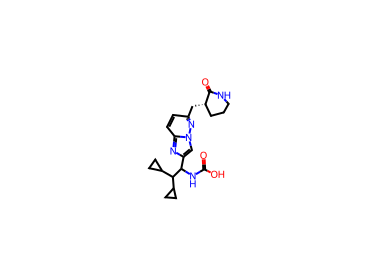 O=C(O)NC(c1cn2nc(C[C@H]3CCCNC3=O)ccc2n1)C(C1CC1)C1CC1